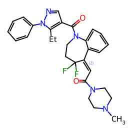 CCc1c(C(=O)N2CCC(F)(F)/C(=C\C(=O)N3CCN(C)CC3)c3ccccc32)cnn1-c1ccccc1